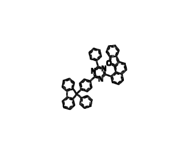 c1ccc(-c2nc(-c3ccc(C4(c5ccccc5)c5ccccc5-c5ccccc54)cc3)nc(-c3cccc4ccc5c6ccccc6oc5c34)n2)cc1